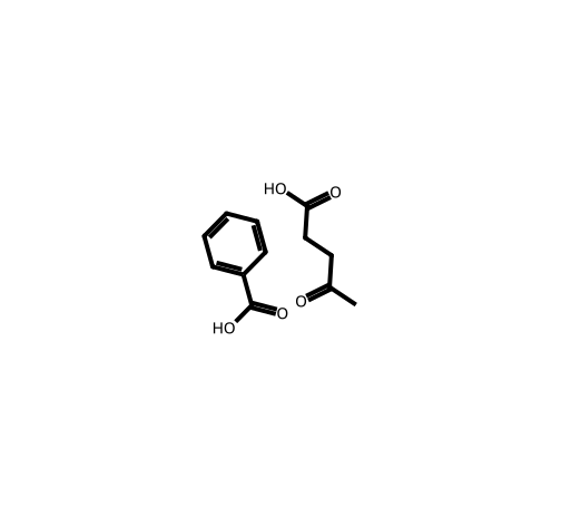 CC(=O)CCC(=O)O.O=C(O)c1ccccc1